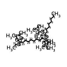 CCCCCCCC[Si](C)(OC[SiH](C)C)O[Si](C)(CCCCCCCC[Si](OCC)(OCC)OCC)O[Si](C)(C)C